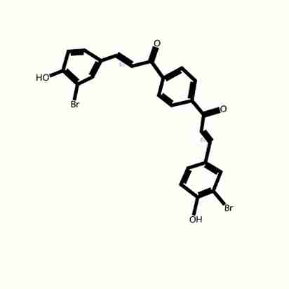 O=C(/C=C/c1ccc(O)c(Br)c1)c1ccc(C(=O)/C=C/c2ccc(O)c(Br)c2)cc1